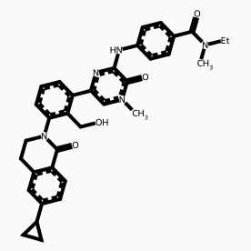 CCN(C)C(=O)c1ccc(Nc2nc(-c3cccc(N4CCc5cc(C6CC6)ccc5C4=O)c3CO)cn(C)c2=O)cc1